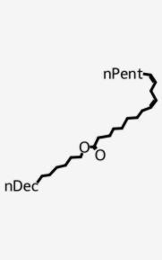 CCCCC/C=C\C/C=C\CCCCCCCC(=O)OCCCCCCCCCCCCCCCC